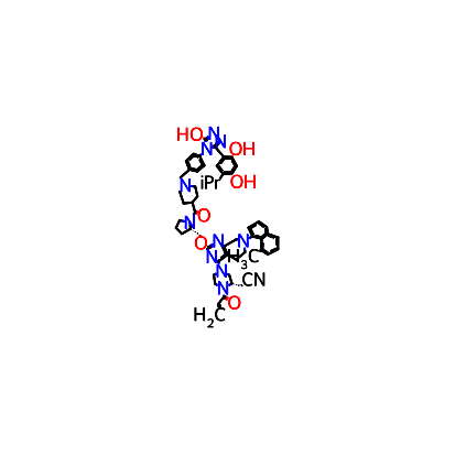 C=CC(=O)N1CCN(c2nc(OC[C@@H]3CCCN3C(=O)C3CCN(Cc4ccc(-n5c(O)nnc5-c5cc(C(C)C)c(O)cc5O)cc4)CC3)nc3c2CCN(c2cccc4cccc(C)c24)C3)C[C@@H]1CC#N